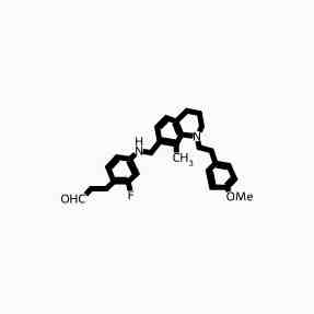 COc1ccc(CCN2CCCc3ccc(CNc4ccc(CCC=O)c(F)c4)c(C)c32)cc1